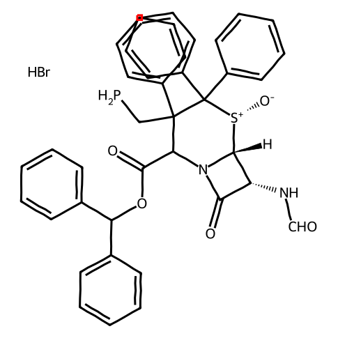 Br.O=CN[C@@H]1C(=O)N2C(C(=O)OC(c3ccccc3)c3ccccc3)C(CP)(c3ccccc3)C(c3ccccc3)(c3ccccc3)[S@+]([O-])[C@H]12